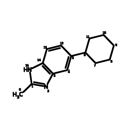 Cc1nc2[c]c(C3CCCCC3)ccc2[nH]1